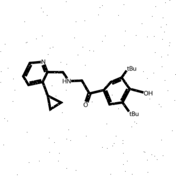 CC(C)(C)c1cc(C(=O)CNCc2ncccc2C2CC2)cc(C(C)(C)C)c1O